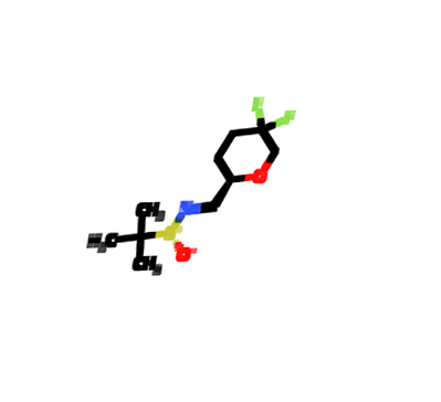 CC(C)(C)[S@@+]([O-])/N=C/[C@H]1CCC(F)(F)CO1